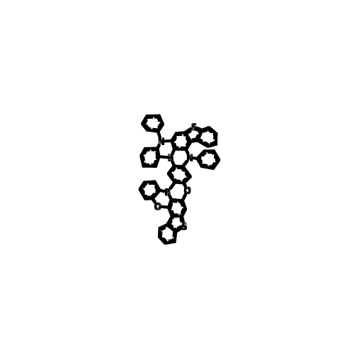 c1ccc(N2c3ccccc3B3c4cc5c(cc4N(c4ccccc4)c4c3c2cc2sc3ccccc3c42)Oc2cc3sc4ccccc4c3c3c2B5c2ccccc2O3)cc1